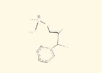 CCCCC(C(=COP(=O)(O)O)C(=O)O)c1ccccc1